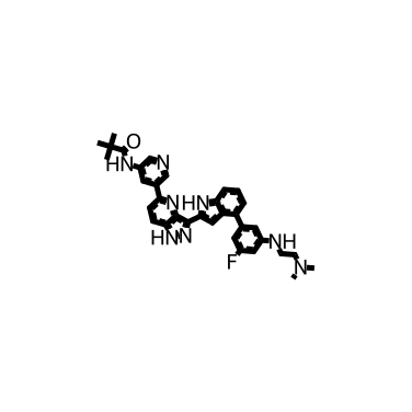 CN(C)CCNc1cc(F)cc(-c2cccc3[nH]c(-c4n[nH]c5ccc(-c6cncc(NC(=O)C(C)(C)C)c6)nc45)cc23)c1